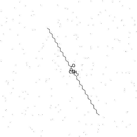 CCCCCCCCCCCCCCCCCCOOC(=O)CCCCCCCCCCCCCCCCC.[CaH2]